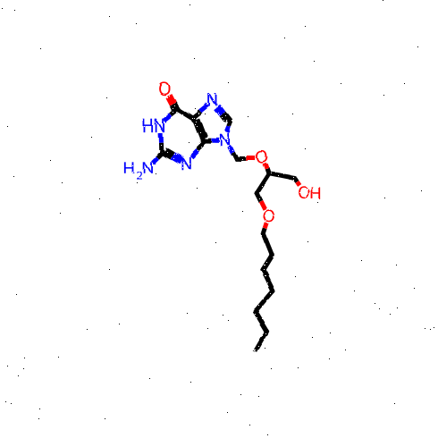 CCCCCCCOCC(CO)OCn1cnc2c(=O)[nH]c(N)nc21